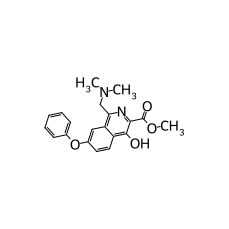 COC(=O)c1nc(CN(C)C)c2cc(Oc3ccccc3)ccc2c1O